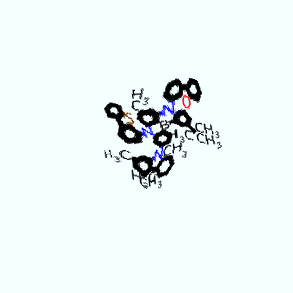 Cc1cc2c3c(c1)N(c1cccc4c1sc1ccccc14)c1cc(N4c5cc(C)cc(C)c5C5(C)CCCCC45C)ccc1B3c1cc(C(C)(C)C)ccc1N2c1cccc2c1oc1ccccc12